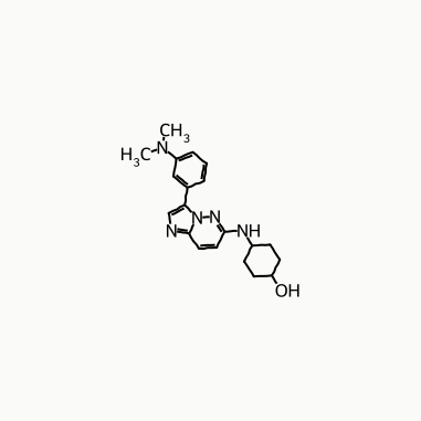 CN(C)c1cccc(-c2cnc3ccc(NC4CCC(O)CC4)nn23)c1